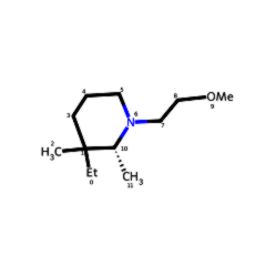 CCC1(C)CCCN(CCOC)[C@@H]1C